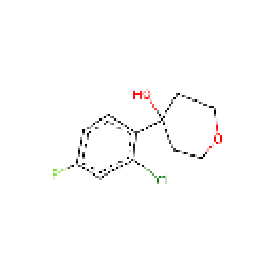 OC1(c2ccc(F)cc2Cl)CCOCC1